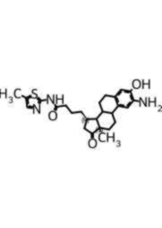 Cc1cnc(NC(=O)CCC[C@@H]2CC(=O)[C@@]3(C)CCC4c5cc(N)c(O)cc5CCC4C23)s1